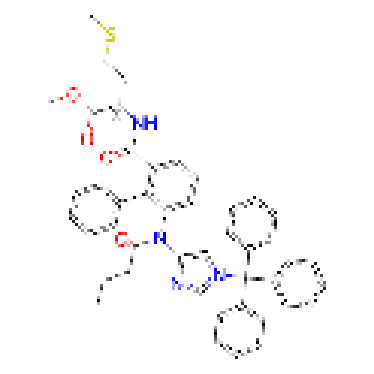 CCCC(=O)N(c1cn(C(c2ccccc2)(c2ccccc2)c2ccccc2)cn1)c1cccc(C(=O)N[C@@H](CCSC)C(=O)OC)c1-c1ccccc1